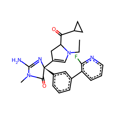 CCN1C=C([C@@]2(c3cccc(-c4cccnc4F)c3)N=C(N)N(C)C2=O)CC1C(=O)C1CC1